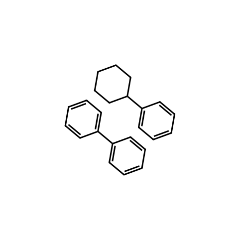 c1ccc(-c2ccccc2)cc1.c1ccc(C2CCCCC2)cc1